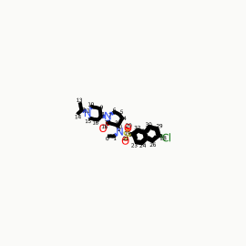 CCN([C@H]1CCCN(C2CCN(C(C)C)CC2)C1=O)S(=O)(=O)c1ccc2cc(Cl)ccc2c1